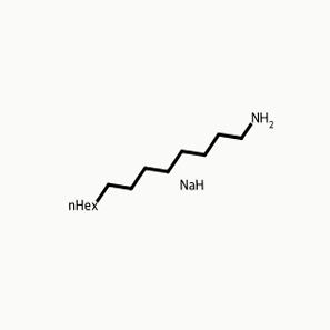 CCCCCCCCCCCCCCN.[NaH]